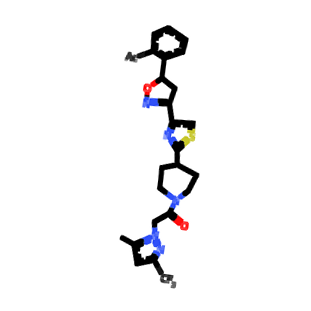 CC(=O)c1ccccc1C1CC(c2csc(C3CCN(C(=O)Cn4nc(C(F)(F)F)cc4C)CC3)n2)=NO1